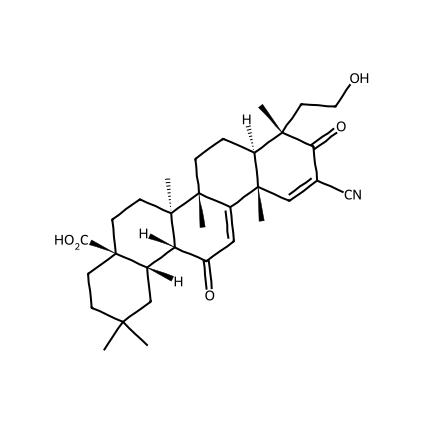 CC1(C)CC[C@]2(C(=O)O)CC[C@]3(C)[C@H](C(=O)C=C4[C@@]5(C)C=C(C#N)C(=O)[C@@](C)(CCO)[C@@H]5CC[C@]43C)[C@@H]2C1